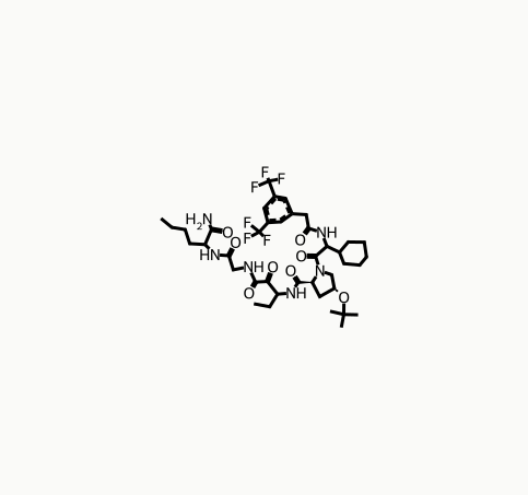 CCCCC(NC(=O)CNC(=O)C(=O)C(CC)NC(=O)[C@@H]1C[C@@H](OC(C)(C)C)CN1C(=O)C(NC(=O)Cc1cc(C(F)(F)F)cc(C(F)(F)F)c1)C1CCCCC1)C(N)=O